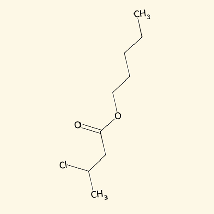 CCCCCOC(=O)CC(C)Cl